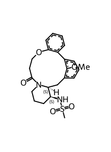 COc1c2cccc1-c1ccccc1OCCC(=O)N1CCC[C@H](NS(C)(=O)=O)[C@@H]1C2